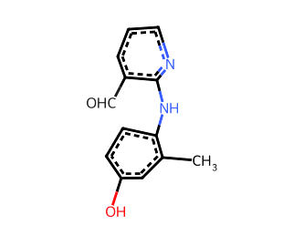 Cc1cc(O)ccc1Nc1ncccc1C=O